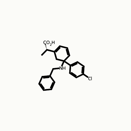 C[C@H](C(=O)O)C1=CC=CC(NCc2ccccc2)(c2ccc(Cl)cc2)C1